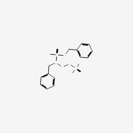 NP(N)(=O)NSN(Cc1ccccc1)P(N)(=O)NCc1ccccc1